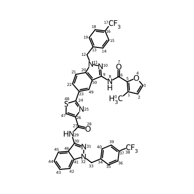 Cc1ccoc1C(=O)Nc1nn(Cc2ccc(C(F)(F)F)cc2)c2ccc(-c3nc(C(=O)Nc4nn(Cc5ccc(C(F)(F)F)cc5)c5ccccc45)cs3)cc12